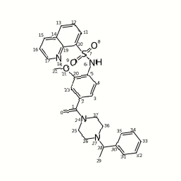 C=C(c1ccc(NS(=O)(=O)c2cccc3cccnc23)c(OC)c1)N1CCN(C(C)c2ccccc2)CC1